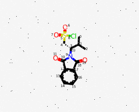 CC(C)[C@@H](CS(=O)(=O)Cl)N1C(=O)c2ccccc2C1=O